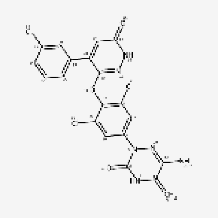 C=C1NC(=O)N(c2cc(Cl)c(Oc3n[nH]c(=O)cc3-c3cccc(Cl)c3)c(Cl)c2)N=C1N